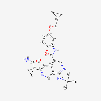 [2H]C([2H])([2H])Nc1ncc(-c2nc3cc(OCC4CC4)ccc3o2)c2cc(C3(C(N)=O)CC3)ncc12